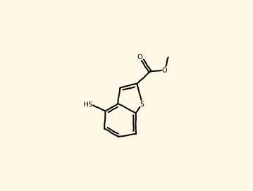 COC(=O)c1cc2c(S)cccc2s1